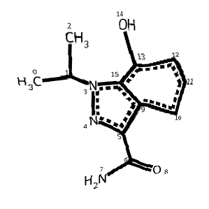 CC(C)n1nc(C(N)=O)c2cccc(O)c21